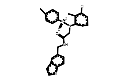 Cc1ccc(S(=O)(=O)N(CC(=O)NCc2ccc3sccc3c2)c2cccc(Cl)c2C)cc1